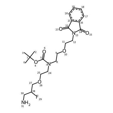 CC(C)(C)OC(=O)N(CCOCCN1C(=O)c2ccccc2C1=O)CCOCC(F)CN